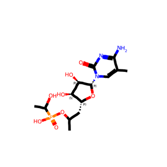 Cc1cn([C@@H]2O[C@H](CC(C)OP(=O)(O)C(C)O)[C@@H](O)[C@H]2O)c(=O)nc1N